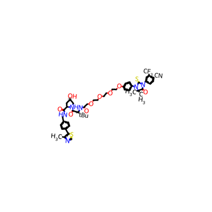 Cc1ncsc1-c1ccc(CNC(=O)C2C[C@@H](O)CN2C(=O)[C@@H](NC(=O)COCCOCCOCCOc2ccc(N3C(=S)N(c4ccc(C#N)c(C(F)(F)F)c4)C(=O)C3(C)C)cc2)C(C)(C)C)cc1